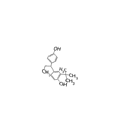 CCC(c1ccc(O)cc1)c1ccc(O)c(C(C)(C)C)c1